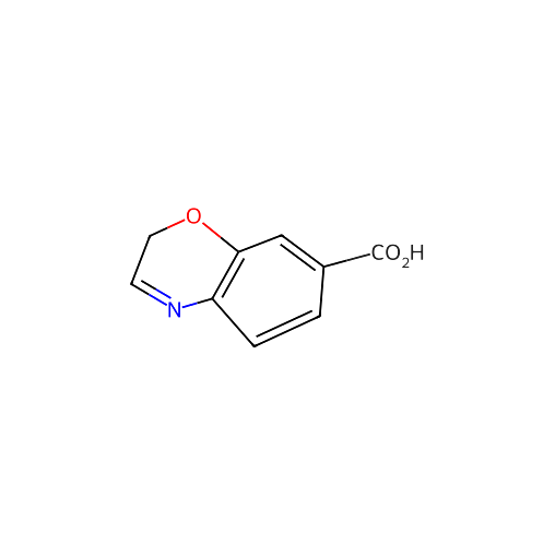 O=C(O)c1ccc2c(c1)OCC=N2